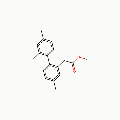 COC(=O)Cc1cc(C)ccc1-c1ccc(C)cc1C